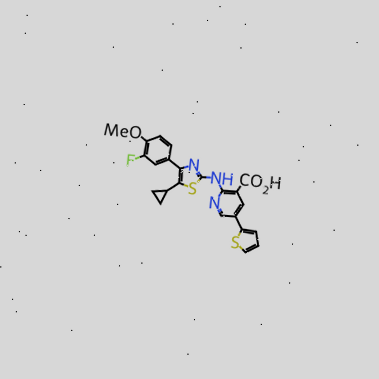 COc1ccc(-c2nc(Nc3ncc(-c4cccs4)cc3C(=O)O)sc2C2CC2)cc1F